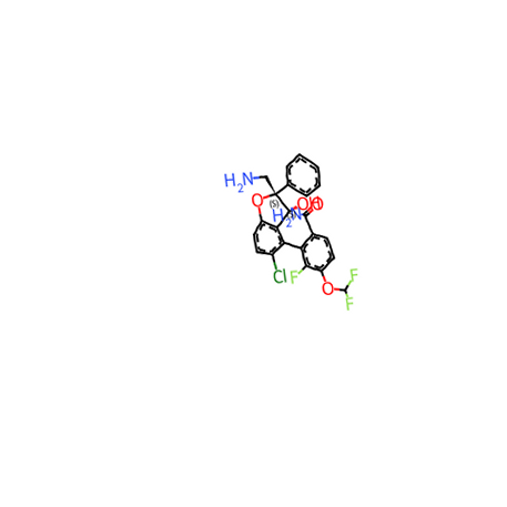 NC[C@]1(c2ccccc2)Oc2ccc(Cl)c(-c3c(C(N)=O)ccc(OC(F)F)c3F)c2[C@@H]1O